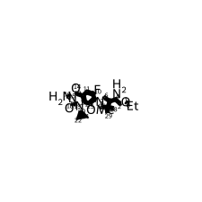 CCOC[C@H](N)C1CN(c2c(F)cc3c(=O)n(N)c(=O)n(C4CC4)c3c2OC)CC1(C)C